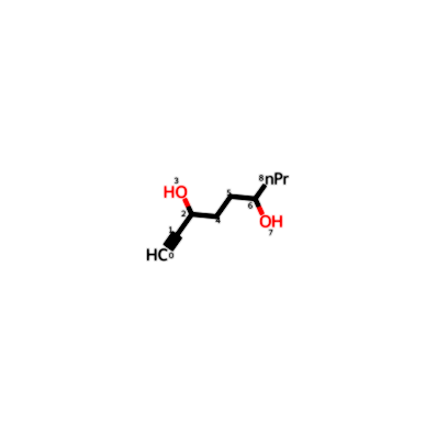 C#CC(O)CCC(O)CCC